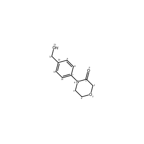 O=C1COCCN1c1ccc(CO)cc1